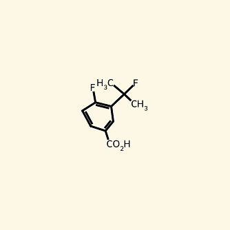 CC(C)(F)c1cc(C(=O)O)ccc1F